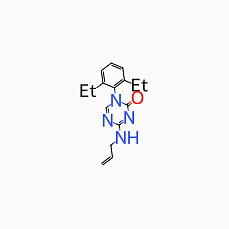 C=CCNc1ncn(-c2c(CC)cccc2CC)c(=O)n1